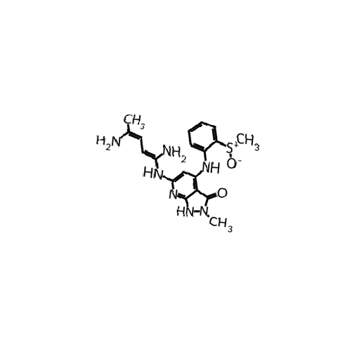 C/C(N)=C/C=C(\N)Nc1cc(Nc2ccccc2[S+](C)[O-])c2c(=O)n(C)[nH]c2n1